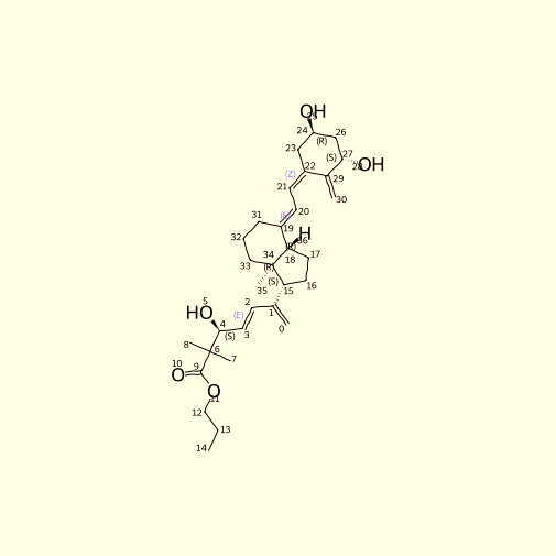 C=C(/C=C/[C@H](O)C(C)(C)C(=O)OCCC)[C@H]1CC[C@H]2/C(=C/C=C3/C[C@@H](O)C[C@H](O)C3=C)CCC[C@]12C